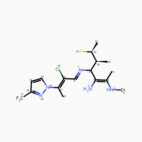 CCN/C(C)=C(\N)C(N=C/C(Cl)=C(\C)n1ccc(C(F)(F)F)n1)[C@H](C)[C@H](C)F